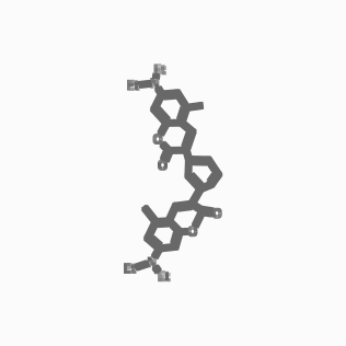 CCN(CC)c1cc(C)c2cc(-c3cccc(-c4cc5c(C)cc(N(CC)CC)cc5oc4=O)c3)c(=O)oc2c1